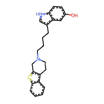 Oc1ccc2[nH]cc(CCCCN3CCc4c(sc5ccccc45)C3)c2c1